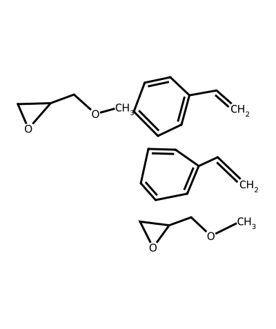 C=Cc1ccccc1.C=Cc1ccccc1.COCC1CO1.COCC1CO1